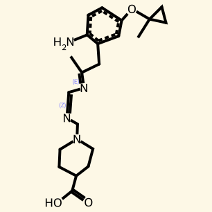 C/C(Cc1cc(OC2(C)CC2)ccc1N)=N\C=N/CN1CCC(C(=O)O)CC1